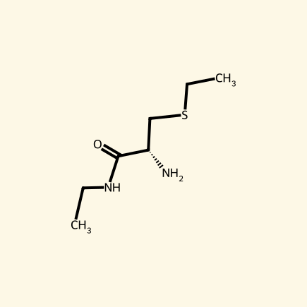 CCNC(=O)[C@@H](N)CSCC